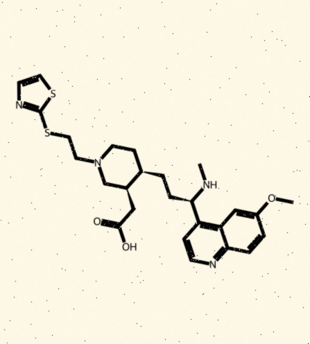 CN[C@H](CC[C@@H]1CCN(CCSc2nccs2)C[C@@H]1CC(=O)O)c1ccnc2ccc(OC)cc12